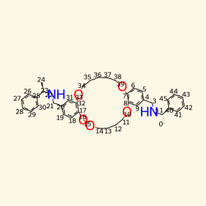 C[C@H](NCc1ccc2c(c1)OCCCCOOc1ccc(CN[C@H](C)c3ccccc3)cc1OCCCCCO2)c1ccccc1